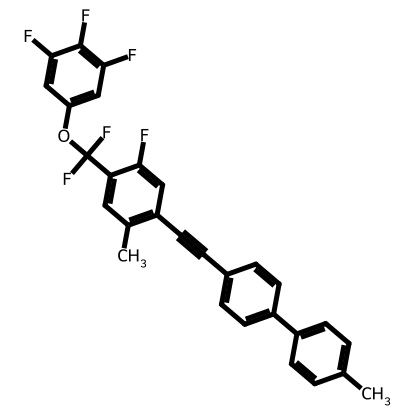 Cc1ccc(-c2ccc(C#Cc3cc(F)c(C(F)(F)Oc4cc(F)c(F)c(F)c4)cc3C)cc2)cc1